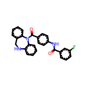 O=C(Nc1ccc(C(=O)N2c3ccccc3CNc3ccccc32)cc1)c1cccc(F)c1